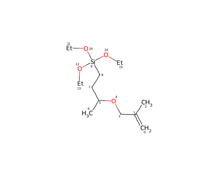 C=C(C)COC(C)CC[Si](OCC)(OCC)OCC